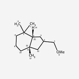 COCC1C[C@H]2C(C)(C)CCC[C@@]2(C)C1